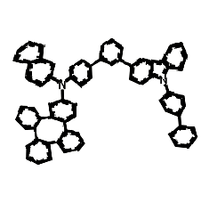 c1ccc(-c2ccc(-n3c4ccccc4c4cc(-c5cccc(-c6ccc(N(c7ccc8c(c7)-c7ccccc7-c7ccccc7-c7ccccc7-8)c7ccc8ccccc8c7)cc6)c5)ccc43)cc2)cc1